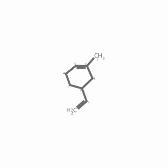 C=CC1CCC=C(C)C1